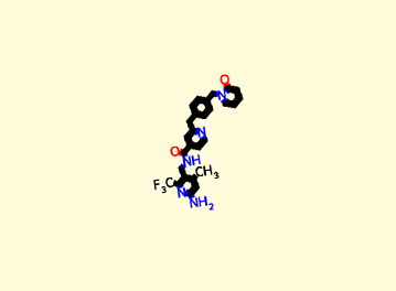 Cc1cc(N)nc(C(F)(F)F)c1CNC(=O)c1ccnc(Cc2ccc(Cn3ccccc3=O)cc2)c1